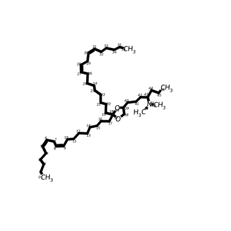 CCCCC/C=C\C/C=C\CCCCCCCCC1(CCCCCCCC/C=C\C/C=C\CCCCC)OCC(CCCC(CCC)N(C)C)O1